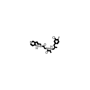 CC(CNC(C)C(=O)NCC(=O)NCc1cc2cnccc2[nH]1)Cc1ccc(F)c(Cl)c1